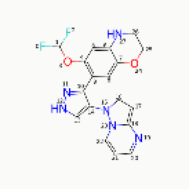 FC(F)Oc1cc2c(cc1-c1n[nH]cc1N1CC=C3N=CC=CN31)OCCN2